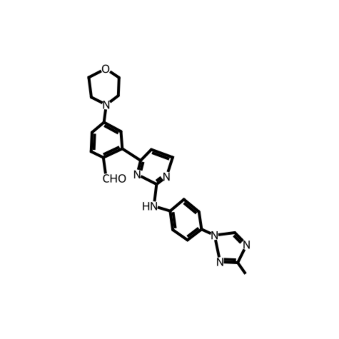 Cc1ncn(-c2ccc(Nc3nccc(-c4cc(N5CCOCC5)ccc4C=O)n3)cc2)n1